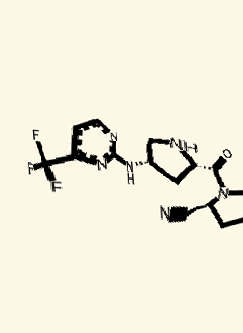 N#C[C@@H]1CCCN1C(=O)[C@@H]1C[C@H](Nc2nccc(C(F)(F)F)n2)CN1